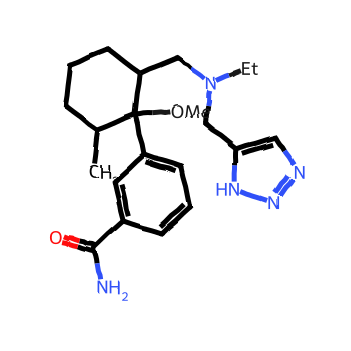 CCN(Cc1cnn[nH]1)CC1CCCC(C)C1(OC)c1cccc(C(N)=O)c1